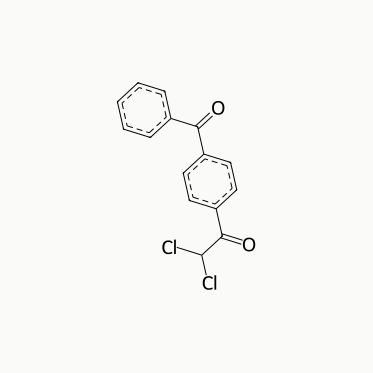 O=C(c1ccccc1)c1ccc(C(=O)C(Cl)Cl)cc1